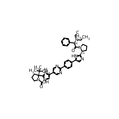 CCN(CC)[C@@H](C(=O)N1CCC[C@H]1c1ncc(-c2ccc(-c3ncc(-c4cnc([C@@]5(C(C)(C)C)CCCN5C(=O)O)[nH]4)cn3)cc2)[nH]1)c1ccccc1